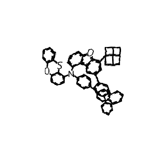 c1ccc(-c2ccc(-c3cc(C45CC6CC7CC(C4)C765)c4oc5cccc(N(c6ccc(-c7ccc8ccccc8c7)cc6)c6cccc7c6Sc6ccccc6O7)c5c4c3)cc2)cc1